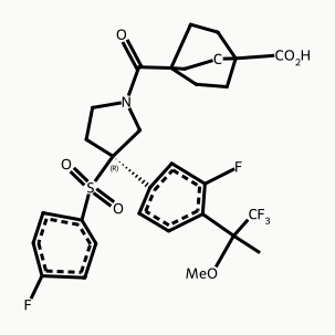 COC(C)(c1ccc([C@]2(S(=O)(=O)c3ccc(F)cc3)CCN(C(=O)C34CCC(C(=O)O)(CC3)CC4)C2)cc1F)C(F)(F)F